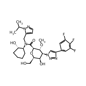 CO[C@@H]1[C@@H](n2cc(-c3cc(F)c(F)c(F)c3)nn2)[C@@H](O)[C@@H](CO)O[C@H]1C(=O)N(Cc1ccnn1C(C)C)[C@H]1CCCC[C@@H]1O